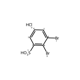 Cl.O=S(=O)(O)c1cccc(Br)c1Br